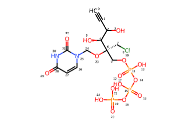 C#CC(O)[C@H](O)[C@@](CCl)(COP(=O)(O)OP(=O)(O)OP(=O)(O)O)OCn1ccc(=O)[nH]c1=O